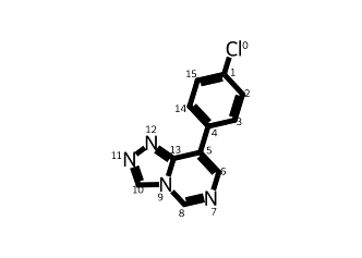 Clc1ccc(-c2cncn3cnnc23)cc1